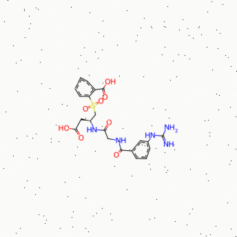 N=C(N)Nc1cccc(C(=O)NCC(=O)N[C@@H](CC(=O)O)CS(=O)(=O)c2ccccc2C(=O)O)c1